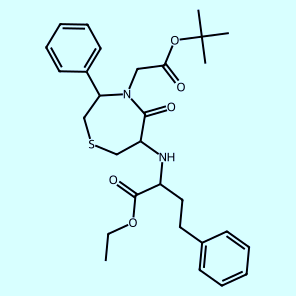 CCOC(=O)C(CCc1ccccc1)NC1CSCC(c2ccccc2)N(CC(=O)OC(C)(C)C)C1=O